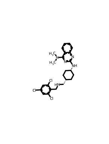 CN(C)c1nc(N[C@H]2CC[C@@H](CNCc3c(Cl)cc(Cl)cc3Cl)CC2)nc2ccccc12